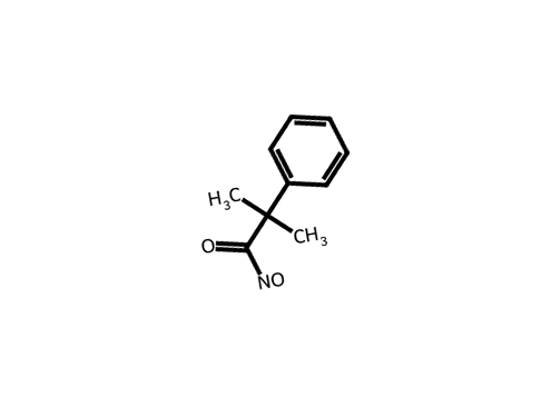 CC(C)(C(=O)N=O)c1ccccc1